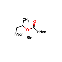 CCCCCCCCCCC(C)OC(=O)CCCCCCCCC.[Rh]